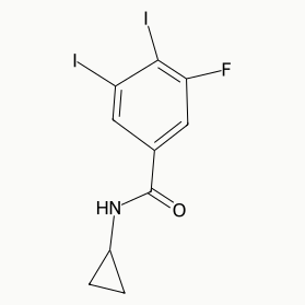 O=C(NC1CC1)c1cc(F)c(I)c(I)c1